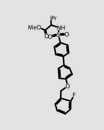 COC(=O)C(NS(=O)(=O)c1ccc(-c2ccc(OCc3ccccc3F)cc2)cc1)C(C)C